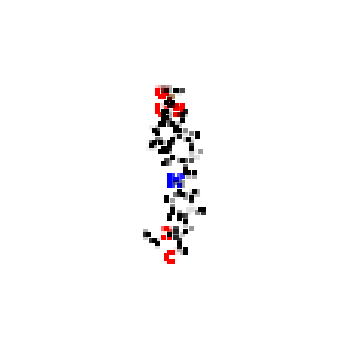 CCOC(C=O)Cc1ccc(NCC2CCc3cc(OS(C)(=O)=O)ccc3C2)cc1